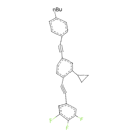 CCCCc1ccc(C#Cc2ccc(C#Cc3cc(F)c(F)c(F)c3)c(C3CC3)c2)cc1